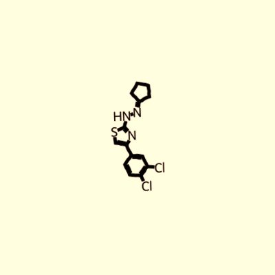 Clc1ccc(-c2csc(NN=C3CCCC3)n2)cc1Cl